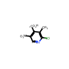 Cc1c(Cl)ncc([N+](=O)[O-])c1C(=O)O